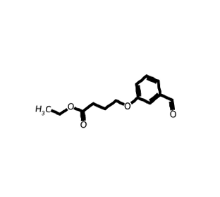 CCOC(=O)CCCOc1cccc(C=O)c1